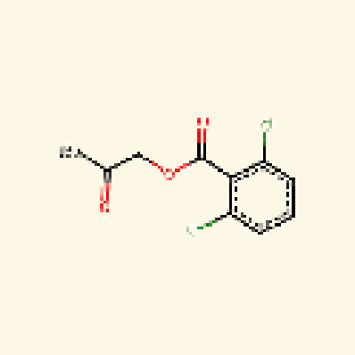 CC(C)(C)C(=O)COC(=O)c1c(Cl)cccc1Cl